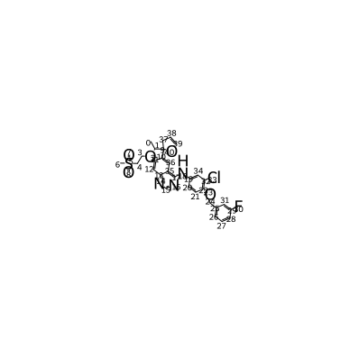 CC(OCCS(C)(=O)=O)C1(c2ccc3ncnc(Nc4ccc(OCc5cccc(F)c5)c(Cl)c4)c3c2)CC=CO1